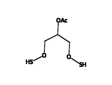 CC(=O)OC(COS)COS